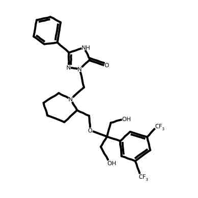 O=c1[nH]c(-c2ccccc2)nn1CN1CCCCC1COC(CO)(CO)c1cc(C(F)(F)F)cc(C(F)(F)F)c1